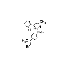 CCN(c1ccc(C(C)CBr)cc1)c1nc(C)cc(-c2ccccc2Cl)n1